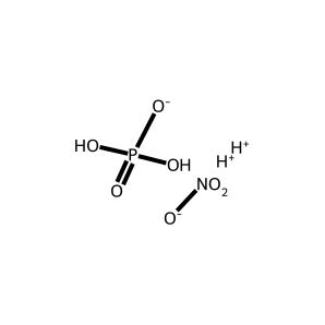 O=P([O-])(O)O.O=[N+]([O-])[O-].[H+].[H+]